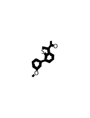 COc1cccc(-c2cccc3c(C(C)=O)csc23)c1